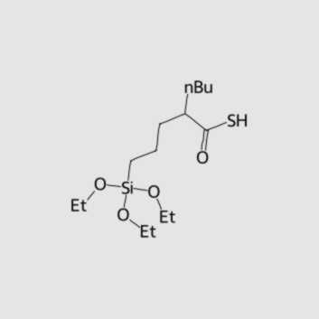 CCCCC(CCC[Si](OCC)(OCC)OCC)C(=O)S